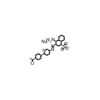 CC(=O)c1ccc(-c2ccc(N=Nc3cc(S(=O)(=O)[O-])c4ccccc4c3N)cn2)cc1.[Na+]